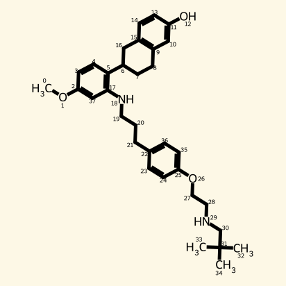 COc1ccc(C2CCc3cc(O)ccc3C2)c(NCCCc2ccc(OCCNCC(C)(C)C)cc2)c1